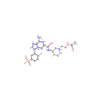 Cc1ccc(S(C)(=O)=O)cc1-c1cnc2c(N)nc(C(=O)NC3CCCN(CCOC(=O)C(F)(F)F)C3)cn12